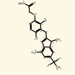 COC(=O)COc1ccc(Cl)c(CC2=Cc3c(C)cc(C(C)(F)F)cc3C2C)c1Cl